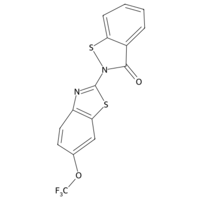 O=c1c2ccccc2sn1-c1nc2ccc(OC(F)(F)F)cc2s1